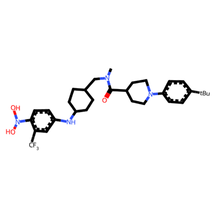 CN(CC1CCC(Nc2ccc(N(O)O)c(C(F)(F)F)c2)CC1)C(=O)C1CCN(c2ccc(C(C)(C)C)cc2)CC1